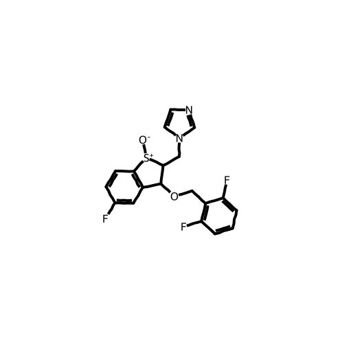 [O-][S+]1c2ccc(F)cc2C(OCc2c(F)cccc2F)C1Cn1ccnc1